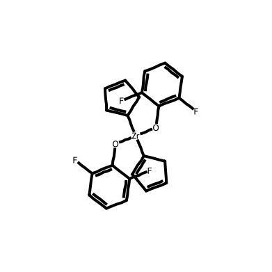 Fc1cccc(F)c1[O][Zr]([O]c1c(F)cccc1F)([C]1=CC=CC1)[C]1=CC=CC1